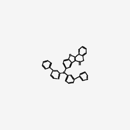 c1ccc(-c2cccc(N(c3cccc(-c4ccccc4)c3)c3ccc4oc5c(c4c3)NCc3ccccc3-5)c2)cc1